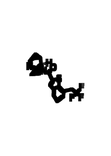 O=C(N[C@@H]1C2CCN(CC2)C12CC2)c1cc2cccc(CC(F)(F)F)c2s1